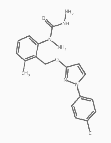 Cc1cccc(N(N)C(=O)NN)c1COc1ccn(-c2ccc(Cl)cc2)n1